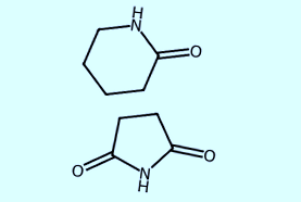 O=C1CCC(=O)N1.O=C1CCCCN1